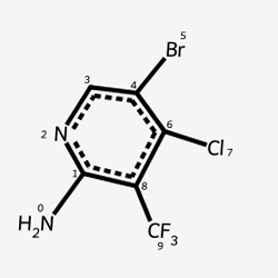 Nc1ncc(Br)c(Cl)c1C(F)(F)F